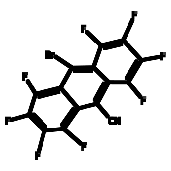 N#Cc1c2c(F)c(F)c(F)c(F)c2c(Br)c2c(F)c(F)c(F)c(F)c12